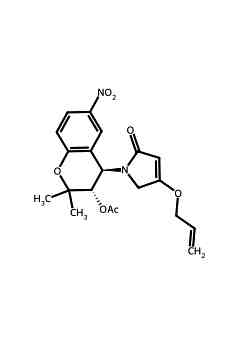 C=CCOC1=CC(=O)N([C@@H]2c3cc([N+](=O)[O-])ccc3OC(C)(C)[C@H]2OC(C)=O)C1